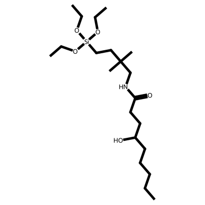 CCCCCC(O)CCC(=O)NCC(C)(C)CC[Si](OCC)(OCC)OCC